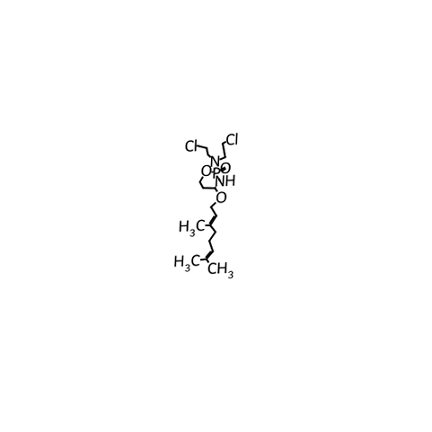 CC(C)=CCC/C(C)=C/COC1CCOP(=O)(N(CCCl)CCCl)N1